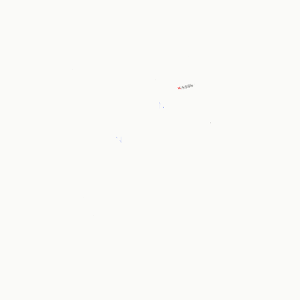 c1ccc(-c2ccc(N(c3cccc(N(c4cccc(C5(c6ccccc6)c6ccccc6-c6ccccc65)c4)c4ccccc4-c4ccccc4)c3)c3ccc4c(c3)-c3ccccc3C4(c3ccccc3)c3ccccc3)cc2)cc1